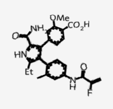 C=C(F)C(=O)Nc1ccc(-c2c(CC)[nH]c(C(N)=O)c2-c2ccc(C(=O)O)c(OC)c2)c(C)c1